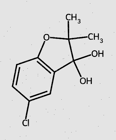 CC1(C)Oc2ccc(Cl)cc2C1(O)O